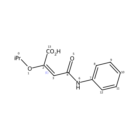 CC(C)O/C(=C/C(=O)Nc1ccccc1)C(=O)O